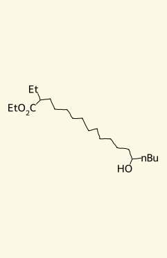 CCCCC(O)CCCCCCCCCCCC(CC)C(=O)OCC